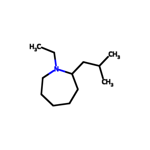 CCN1CCCCCC1CC(C)C